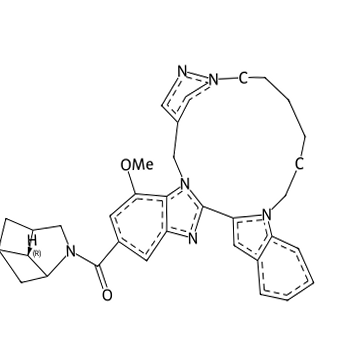 COc1cc(C(=O)N2CC3CC4CC2[C@H]43)cc2nc3n(c12)Cc1cnn(c1)CCCCCCn1c-3cc2ccccc21